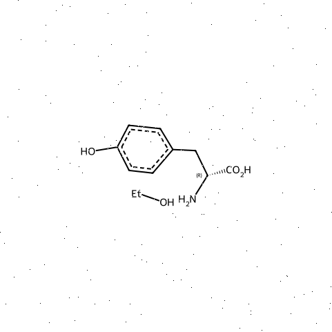 CCO.N[C@H](Cc1ccc(O)cc1)C(=O)O